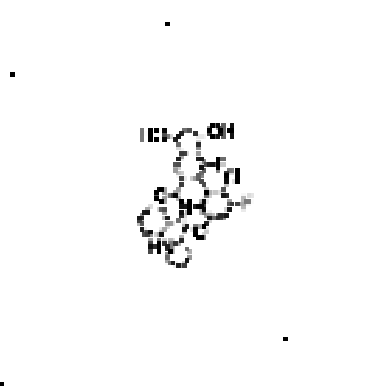 CNC(=O)c1cc2c(c(F)c1-c1c(Cl)c(F)cc3c1C[C@](c1ccccc1)([C@@H]1CCCN1)O3)[C@@H](O)C[C@H]2O